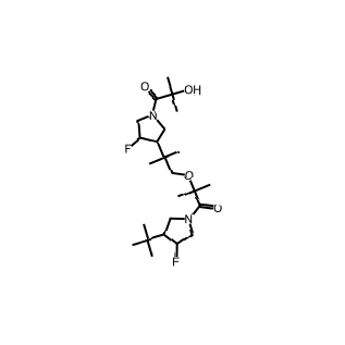 CC(C)(O)C(=O)N1CC(F)C(C(C)(C)COC(C)(C)C(=O)N2CC(F)C(C(C)(C)C)C2)C1